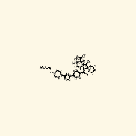 COCCN1CCN(c2nc(-c3ccc(C(=O)NC4(C(=O)N5CC[C@H]6OCC(=O)[C@H]65)CCCCC4)cc3)cs2)CC1